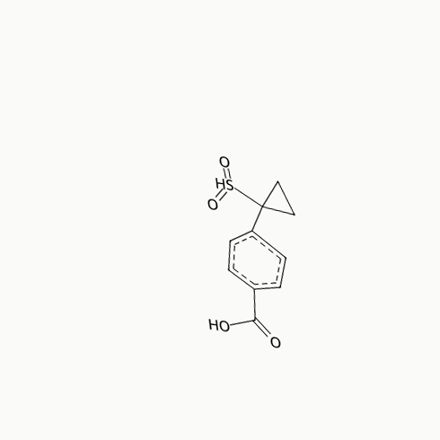 O=C(O)c1ccc(C2([SH](=O)=O)CC2)cc1